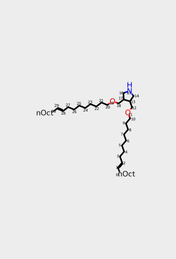 CCCCCCCCC=CCCCCCCCCOCC1CNCC1COCCCCCCCCC=CCCCCCCCC